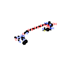 C=CC(=O)N1CCN(c2nc(OCCC3C[C@@H](OCCOCCOCCOCCOCCOCC(=O)N[C@H](C(=O)N4C[C@H](O)C[C@H]4C(=O)N[C@@H](C)c4ccc(-c5scnc5C)cc4)C(C)(C)C)CN3C)nc3c2CCN(c2cccc4ccccc24)C3)C[C@@H]1CC#N